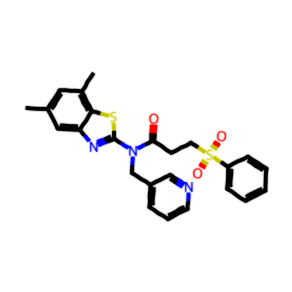 Cc1cc(C)c2sc(N(Cc3cccnc3)C(=O)CCS(=O)(=O)c3ccccc3)nc2c1